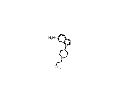 CCCN1CCC(n2ccc3ccc(N)cc32)CC1